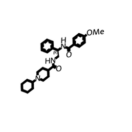 COc1ccc(C(=O)N[C@@H](CNC(=O)C2CCN(C3CCCCC3)CC2)c2ccccc2)cc1